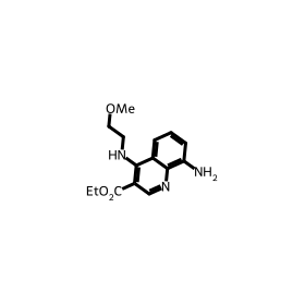 CCOC(=O)c1cnc2c(N)cccc2c1NCCOC